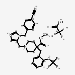 COC(=O)C1(Cc2ccccc2OC(F)(F)F)CCN(Cc2cncn2Cc2ccc(C#N)cc2)CC1.O=C(O)C(F)(F)F